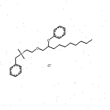 CCCCCCCCC(COCC[N+](C)(C)Cc1ccccc1)Oc1ccccc1.[Cl-]